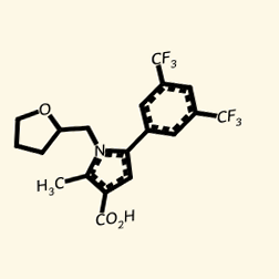 Cc1c(C(=O)O)cc(-c2cc(C(F)(F)F)cc(C(F)(F)F)c2)n1CC1CCCO1